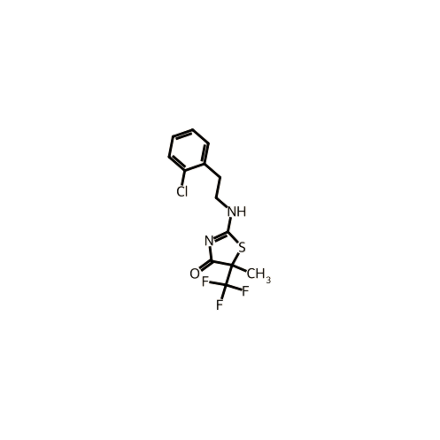 CC1(C(F)(F)F)SC(NCCc2ccccc2Cl)=NC1=O